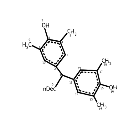 CCCCCCCCCCC(c1cc(C)c(O)c(C)c1)c1cc(C)c(O)c(C)c1